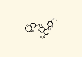 Cc1ccc(Nc2nc(Nc3ccc4c(c3)NCCCO4)ncc2C(N)=O)nc1